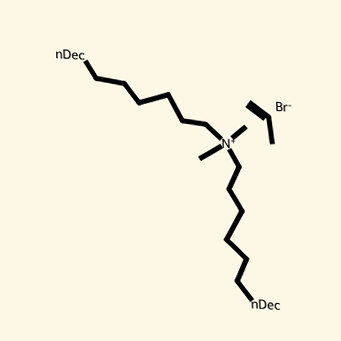 C=CC.CCCCCCCCCCCCCCCC[N+](C)(C)CCCCCCCCCCCCCCCC.[Br-]